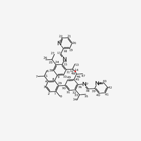 Cc1ccc(C(C)C)c(-c2cc(C(C)C)c(/N=C/c3ccccn3)c(C(C)C)c2)c1-c1cc(C(C)C)c(/N=C/c2ccccn2)c(C(C)C)c1